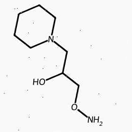 NOCC(O)CN1CCCCC1